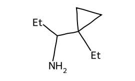 CCC(N)C1(CC)CC1